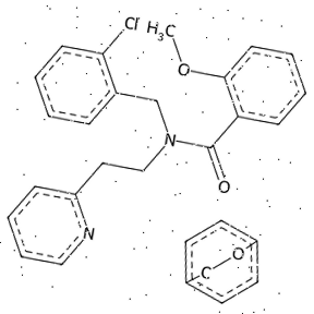 COc1ccccc1C(=O)N(CCc1ccccn1)Cc1ccccc1Cl.c1cc2ccc1CO2